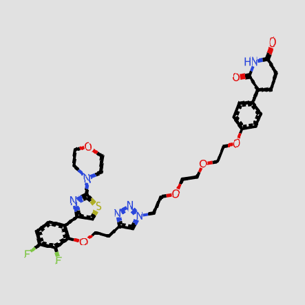 O=C1CCC(c2ccc(OCCOCCOCCn3cc(CCOc4c(-c5csc(N6CCOCC6)n5)ccc(F)c4F)nn3)cc2)C(=O)N1